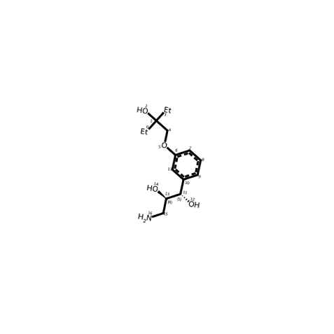 CCC(O)(CC)COc1cccc([C@H](O)[C@H](O)CN)c1